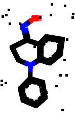 O/N=C1/CCN(c2ccccc2)c2ccccc21